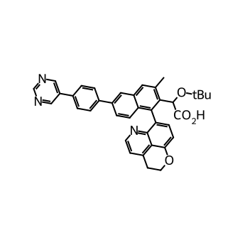 Cc1cc2cc(-c3ccc(-c4cncnc4)cc3)ccc2c(-c2ccc3c4c(ccnc24)CCO3)c1C(OC(C)(C)C)C(=O)O